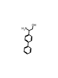 NC(CO)c1ccc(-c2ccccc2)cc1